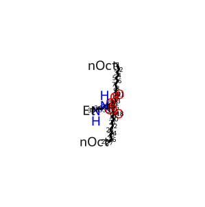 CCCCCCCC/C=C\CCCCCCCC(=O)OCC(COC(=O)CCCCCCC/C=C\CCCCCCCC)OC(=O)NCCNCC